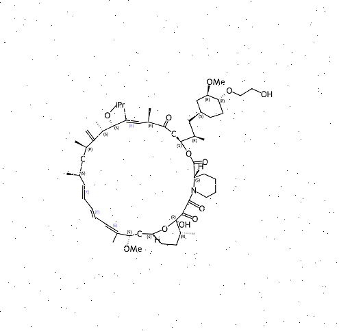 C=C1[C@H](C)C[C@H](C)/C=C/C=C/C=C(\C)[C@@H](OC)C[C@@H]2CC[C@@H](C)[C@@](O)(O2)C(=O)C(=O)N2CCCC[C@H]2C(=O)O[C@H]([C@H](C)C[C@@H]2CC[C@@H](OCCO)[C@H](OC)C2)CC(=O)[C@H](C)/C=C(\C)[C@@H](OC(C)C)[C@H]1C